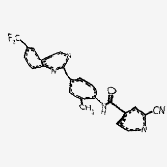 Cc1cc(-c2ncc3cc(C(F)(F)F)ccc3n2)ccc1NC(=O)c1ccnc(C#N)c1